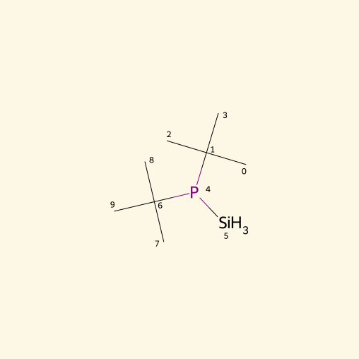 CC(C)(C)P([SiH3])C(C)(C)C